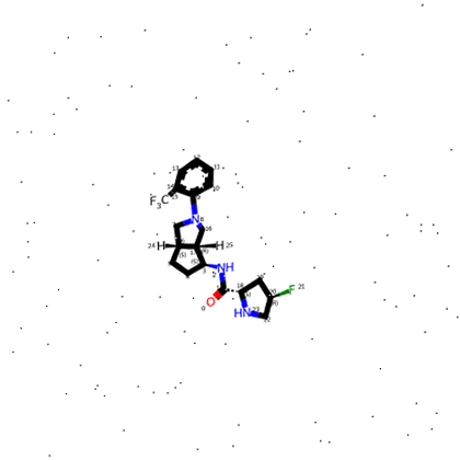 O=C(N[C@H]1CC[C@@H]2CN(c3ccccc3C(F)(F)F)C[C@@H]21)[C@@H]1C[C@@H](F)CN1